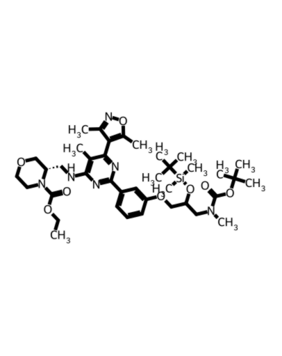 CCOC(=O)N1CCOC[C@@H]1CNc1nc(-c2cccc(OCC(CN(C)C(=O)OC(C)(C)C)O[Si](C)(C)C(C)(C)C)c2)nc(-c2c(C)noc2C)c1C